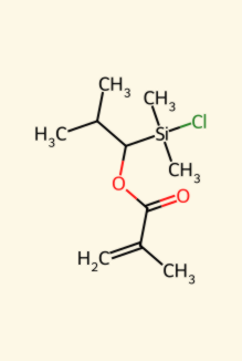 C=C(C)C(=O)OC(C(C)C)[Si](C)(C)Cl